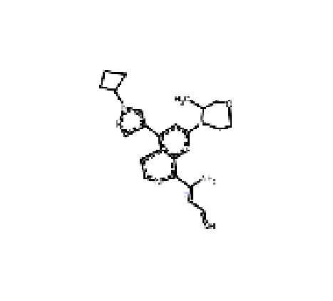 CC1COCCN1c1cc(-c2cnn(C3CCC3)c2)c2ccnc(/C(N)=C/C=N)c2n1